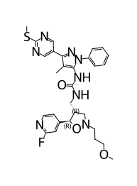 COCCCN1C[C@@H](CNC(=O)Nc2c(C)c(-c3cnc(SC)nc3)nn2-c2ccccc2)[C@H](c2ccnc(F)c2)O1